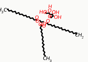 CCCCCCCCCCCCCCCCCC(=O)OCC(COC(=O)CCCCCCCCCCCCCCCCC)OC(=O)CCCCCCCCCCCCCCCCC.OC[C@@H](O)[C@H]1OC[C@H](O)[C@H]1O